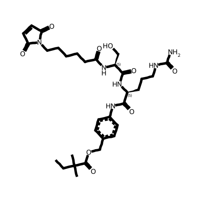 CCC(C)(C)C(=O)OCc1ccc(NC(=O)[C@H](CCCNC(N)=O)NC(=O)[C@H](CO)NC(=O)CCCCCN2C(=O)C=CC2=O)cc1